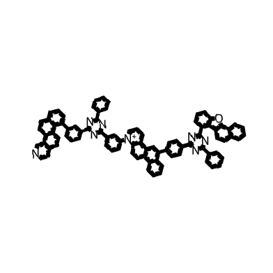 c1ccc(-c2nc(-c3cccc(-c4cccc5ccc6c7cnccc7ccc6c45)c3)nc(-c3cccc(-[n+]4cccc5c6cc(-c7ccc(-c8nc(-c9ccccc9)nc(-c9cccc%10oc%11c%12ccccc%12ccc%11c9%10)n8)cc7)c7ccccc7c6ccc54)c3)n2)cc1